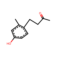 CC(=O)CCc1ccc(O)cc1C